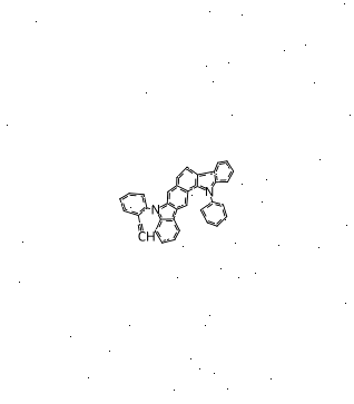 C#Cc1ccccc1-n1c2ccccc2c2cc3c(ccc4c5ccccc5n(-c5ccccc5)c34)cc21